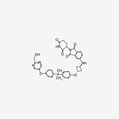 CC(C)(c1ccc(Oc2cnc(CO)nc2)cc1)c1ccc(O[C@H]2C[C@H](Nc3ccc4c(c3)C(=O)N(C3CCC(=O)NC3=O)C4=O)C2)cc1